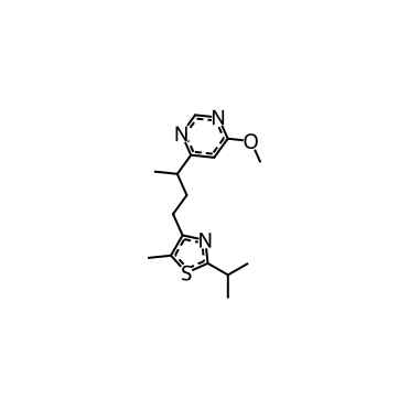 COc1cc(C(C)CCc2nc(C(C)C)sc2C)ncn1